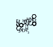 CCn1cc2c3c(cc(C(=O)N[C@@H](Cc4ccccc4)[C@H](O)CNC4(CC)CCCCC4)cc31)N(C)SCC2